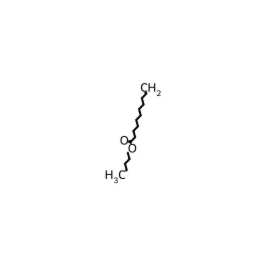 C=CCCCCCCCCC(=O)OCCCCC